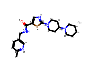 Cc1ccc(CNC(=O)c2cnc(N3CCC(N4CCC[C@@H](C)C4)CC3)s2)cn1